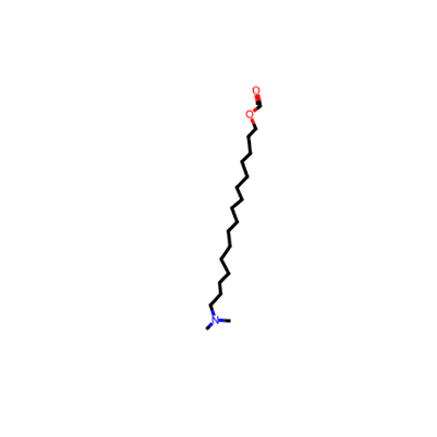 CN(C)CCCCCCCCCCCCCCCCOC=O